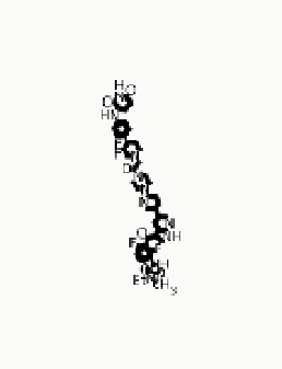 CCN(C)S(=O)(=O)Nc1ccc(F)c(C(=O)c2c[nH]c3ncc(-c4ccc(N5CCN(C(=O)CN6CC[C@@H](c7ccc(NC8CCC(=O)NC8=O)cc7)C(F)(F)C6)CC5)nc4)cc23)c1F